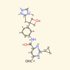 Cn1cnnc1CC1(c2cccc(NC(=O)c3cc(C=O)nc(C4CC4)n3)c2)COC1